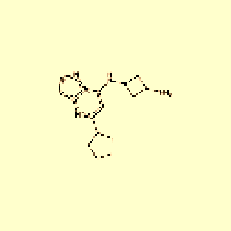 NC1CC(Nc2cc(C3CCCC3)nc3ccnn23)C1